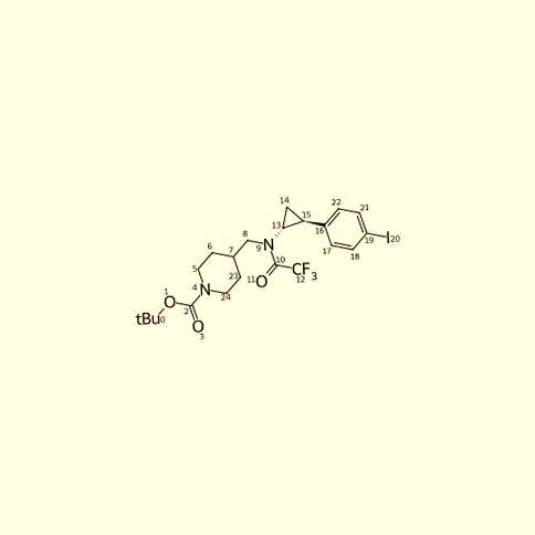 CC(C)(C)OC(=O)N1CCC(CN(C(=O)C(F)(F)F)[C@@H]2C[C@H]2c2ccc(I)cc2)CC1